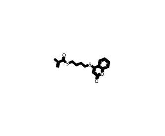 C=C(C)C(=O)SCCCCSc1cc(=O)oc2ccccc12